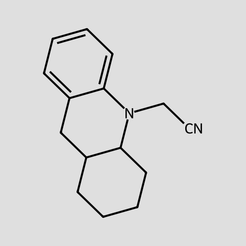 N#CCN1c2ccccc2CC2CCCCC21